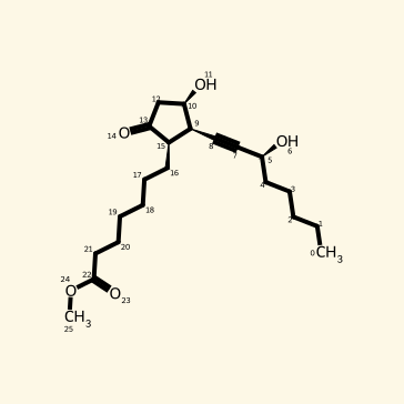 CCCCC[C@H](O)C#C[C@@H]1[C@H](O)CC(=O)[C@@H]1CCCCCCC(=O)OC